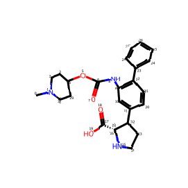 CN1CCC(OC(=O)Nc2cc(C3CCN[C@@H]3C(=O)O)ccc2-c2ccccc2)CC1